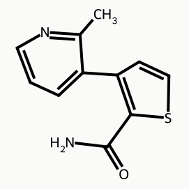 Cc1ncccc1-c1ccsc1C(N)=O